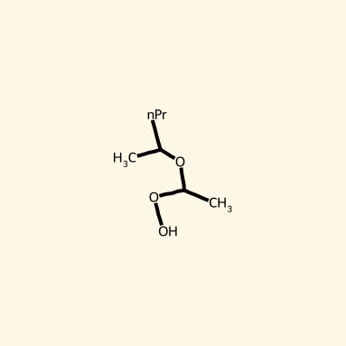 CCCC(C)OC(C)OO